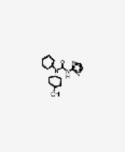 O=C(Nc1nccs1)N(C1CCCCC1)[C@H]1CC[C@H](O)CC1